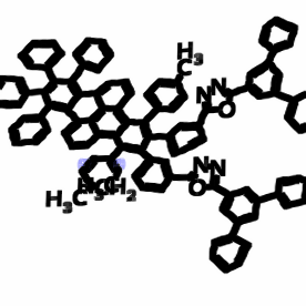 C=C(C)/C=C\C(=C/C)c1c(-c2cccc(-c3nnc(-c4cc(-c5ccccc5)cc(-c5ccccc5)c4)o3)c2)c(-c2cccc(-c3nnc(-c4cc(-c5ccccc5)cc(-c5ccccc5)c4)o3)c2)c(-c2ccc(C)cc2)c2c3cccc4c5c(-c6ccccc6)c(-c6ccccc6)c(-c6ccccc6)c(-c6ccccc6)c5c5cccc(c12)c5c34